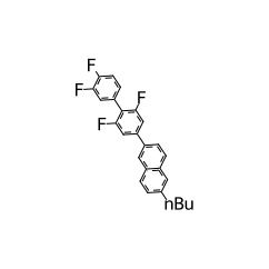 CCCCc1ccc2cc(-c3cc(F)c(-c4ccc(F)c(F)c4)c(F)c3)ccc2c1